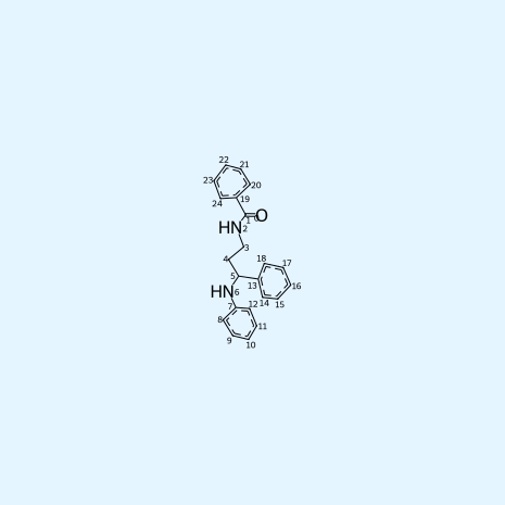 O=C(NCCC(Nc1ccccc1)c1ccccc1)c1ccccc1